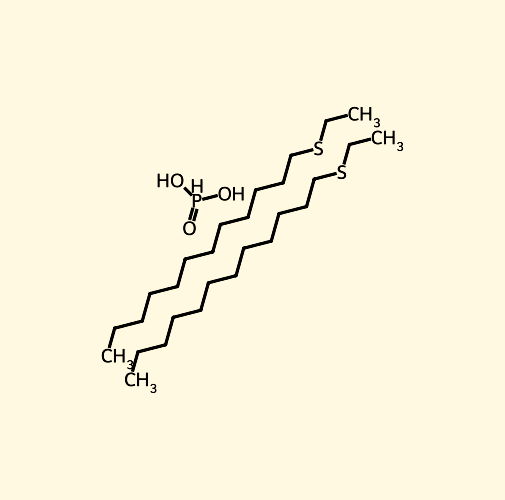 CCCCCCCCCCCCSCC.CCCCCCCCCCCCSCC.O=[PH](O)O